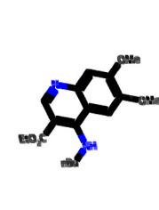 CCCCNc1c(C(=O)OCC)cnc2cc(OC)c(OC)cc12